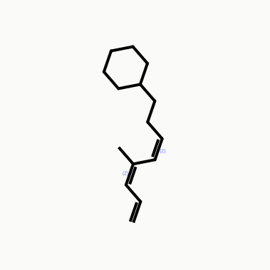 C=C/C=C(C)\C=C/CCC1CCCCC1